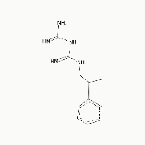 CC(CNC(=N)NC(=N)N)c1ccccc1